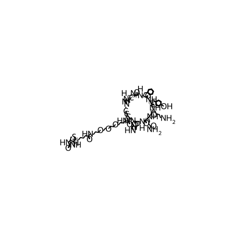 NCCCC[C@@H]1NC(=O)[C@H](Cc2ccc(O)cc2)NC(=O)[C@H](Cc2ccccc2)NC(=O)[C@@H](N)Cc2cn(nn2)CCCC[C@@H](C(=O)NCCCOCCOCCOCCCNC(=O)CCCC[C@H]2SCC3NC(=O)N[C@H]32)NC(=O)[C@H](Cc2c[nH]cn2)NC(=O)[C@H](CCC(N)=O)NC1=O